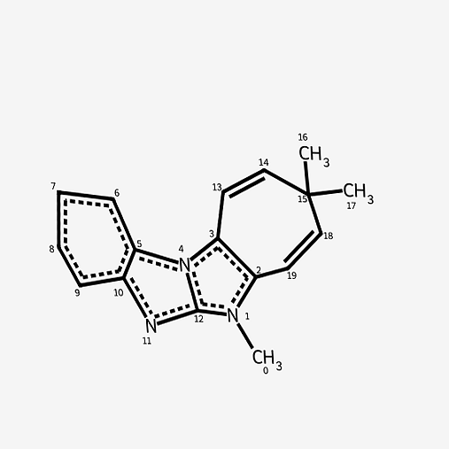 Cn1c2c(n3c4ccccc4nc13)C=CC(C)(C)C=C2